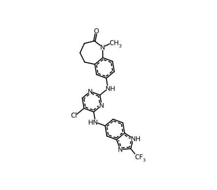 CN1C(=O)CCCc2cc(Nc3ncc(Cl)c(Nc4ccc5[nH]c(C(F)(F)F)nc5c4)n3)ccc21